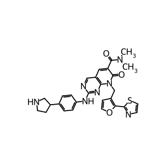 CN(C)C(=O)c1cc2cnc(Nc3ccc(C4CCNC4)cc3)nc2n(Cc2ccoc2-c2nccs2)c1=O